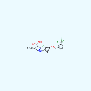 CC1CN(Cc2ccc(OCc3cccc(C(F)(F)F)c3)cc2F)CC1C(=O)O